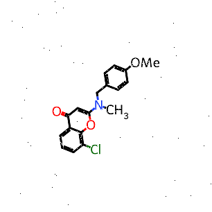 COc1ccc(CN(C)c2cc(=O)c3cccc(Cl)c3o2)cc1